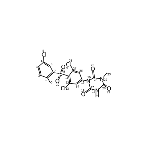 Cc1ccc(Cl)cc1S(=O)(=O)c1c(Cl)cc(-n2c(=O)[nH]c(=O)n(C)c2=O)cc1Cl